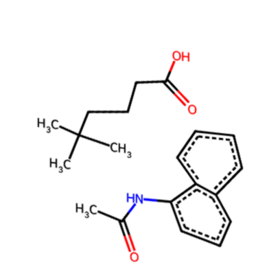 CC(=O)Nc1cccc2ccccc12.CC(C)(C)CCCC(=O)O